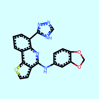 c1cc(-c2nnc[nH]2)c2nc(Nc3ccc4c(c3)OCO4)c3ccsc3c2c1